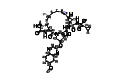 CC[C@@H]1C[C@H](C)CC/C=C\[C@@H]2C[C@@]2(C(=O)NS(=O)(=O)C2CC2)NC(=O)[C@@H]2C[C@@H](Oc3cnc4ccc(OC)cc4n3)CN2C(=O)[C@H]1NC(=O)O